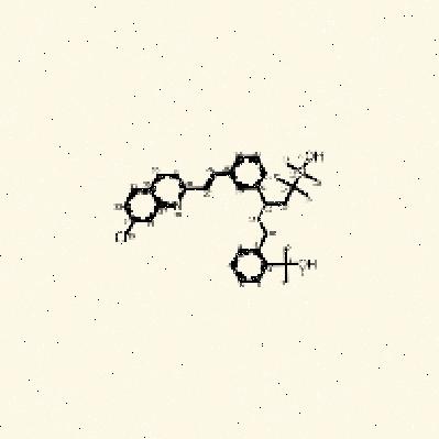 CC(C)(O)c1ccccc1CC[C@H](CC(C)(C)[Si](C)(C)O)c1cccc(/C=C/c2ccc3ccc(Cl)cc3n2)c1